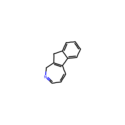 C1=CC2=C(CN=C1)Cc1ccccc12